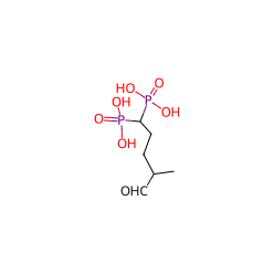 CC(C=O)CCC(P(=O)(O)O)P(=O)(O)O